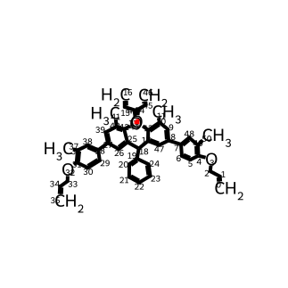 C=CCOc1ccc(-c2cc(C)c(OCC=C)c(C(c3ccccc3)c3cc(-c4ccc(OCC=C)c(C)c4)cc(C)c3OCC=C)c2)cc1C